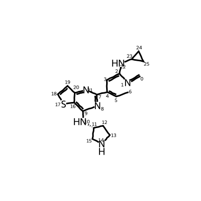 C=N/C(=C\C(=C/C)c1nc(N[C@@H]2CCNC2)c2sccc2n1)NC1CC1